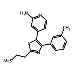 CSCCc1nc(-c2cccc(C)c2)c(-c2ccnc(N)c2)s1